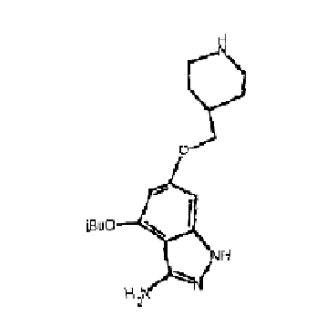 CC(C)COc1cc(OCC2CCNCC2)cc2[nH]nc(N)c12